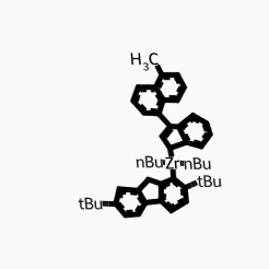 CCC[CH2][Zr]([CH2]CCC)([c]1c(C(C)(C)C)ccc2c1Cc1cc(C(C)(C)C)ccc1-2)[CH]1C=C(c2cccc3c(C)cccc23)c2ccccc21